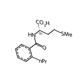 CCCc1ccccc1C(=O)N[C@@H](CCSC)C(=O)O